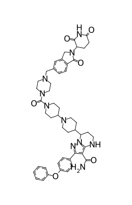 NC(=O)c1c(-c2ccc(Oc3ccccc3)cc2)nn2c1NCCC2C1CCN(C2CCN(C(=O)N3CCN(Cc4ccc5c(c4)CN(C4CCC(=O)NC4=O)C5=O)CC3)CC2)CC1